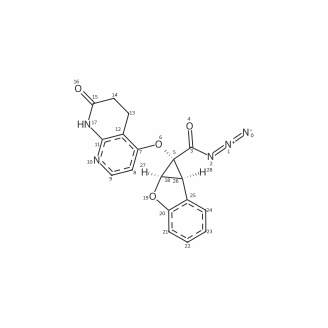 [N-]=[N+]=NC(=O)[C@]1(Oc2ccnc3c2CCC(=O)N3)[C@@H]2Oc3ccccc3[C@@H]21